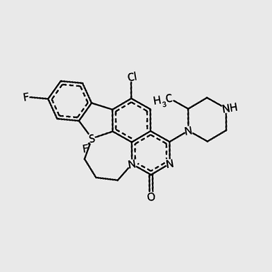 CC1CNCCN1c1nc(=O)n2c3c4c(c(Cl)cc13)-c1ccc(F)cc1S4(F)CCC2